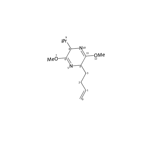 C=CCCC1N=C(OC)C(C(C)C)N=C1OC